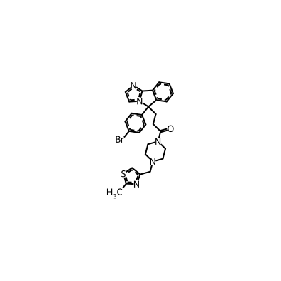 Cc1nc(CN2CCN(C(=O)CCC3(c4ccc(Br)cc4)c4ccccc4-c4nccn43)CC2)cs1